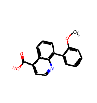 COc1ccccc1-c1cccc2c(C(=O)O)ccnc12